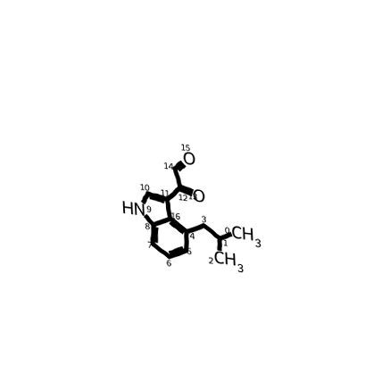 CC(C)Cc1cccc2[nH]cc(C(=O)C=O)c12